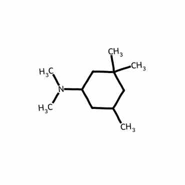 CC1CC(N(C)C)CC(C)(C)C1